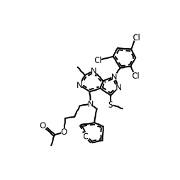 CSc1nn(-c2c(Cl)cc(Cl)cc2Cl)c2nc(C)nc(N(CCCOC(C)=O)Cc3ccccc3)c12